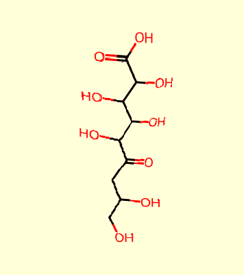 O=C(O)C(O)C(O)C(O)C(O)C(=O)CC(O)CO